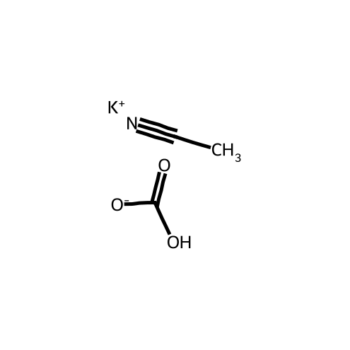 CC#N.O=C([O-])O.[K+]